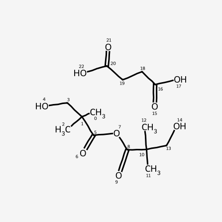 CC(C)(CO)C(=O)OC(=O)C(C)(C)CO.O=C(O)CCC(=O)O